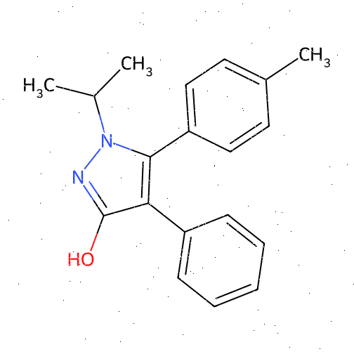 Cc1ccc(-c2c(-c3ccccc3)c(O)nn2C(C)C)cc1